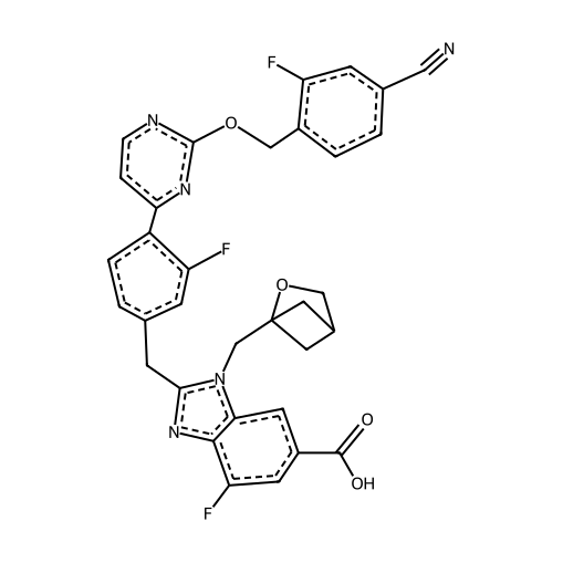 N#Cc1ccc(COc2nccc(-c3ccc(Cc4nc5c(F)cc(C(=O)O)cc5n4CC45CC(CO4)C5)cc3F)n2)c(F)c1